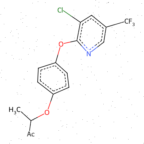 CC(=O)C(C)Oc1ccc(Oc2ncc(C(F)(F)F)cc2Cl)cc1